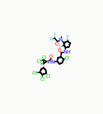 CN(C(=O)C(F)F)c1c(F)ccc(NC(=O)c2cc(NC(=O)[C@H]3[C@H](c4cc(Cl)c(Cl)c(Cl)c4)C3(Cl)Cl)ccc2Cl)c1F